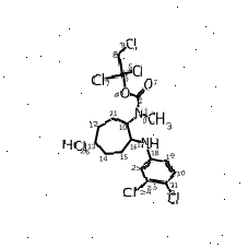 CN(C(=O)OC(Cl)(Cl)CCl)C1CCCCCC1Nc1ccc(Cl)c(Cl)c1.Cl